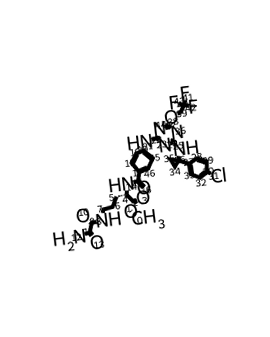 COC(=O)[C@H](CCCNC(=O)C(N)=O)NC(=O)c1ccc(Nc2nc(NC3(c4ccc(Cl)cc4)CC3)nc(OCC(F)(F)F)n2)cc1